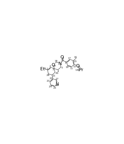 CCC1=CC2(CCN(C(=O)c3ccc(OC(C)C)c(C)c3)CO2)CC(c2cccnc2)C1